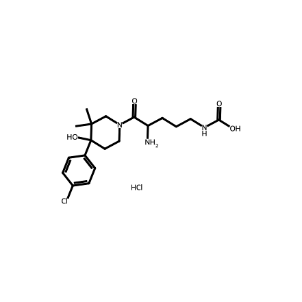 CC1(C)CN(C(=O)C(N)CCCNC(=O)O)CCC1(O)c1ccc(Cl)cc1.Cl